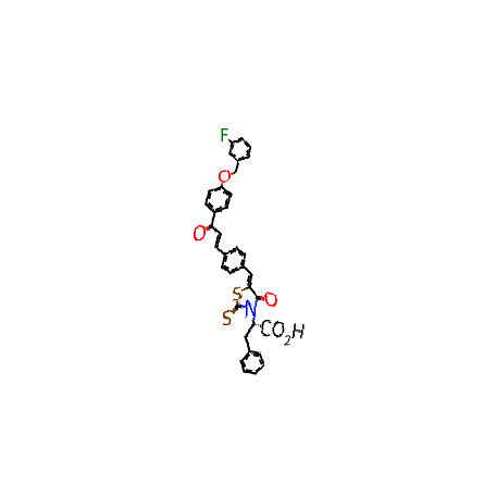 O=C(/C=C/c1ccc(/C=C2\SC(=S)N([C@@H](Cc3ccccc3)C(=O)O)C2=O)cc1)c1ccc(OCc2cccc(F)c2)cc1